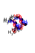 CCC(CC)CNC(=O)Cn1cccc(NC(=O)[C@@H](CC/C=C/C(=O)OC)NC(=O)c2cncn2C)c1=O.CC[C@@H](C)[C@H](NC(=O)Cn1cccc(NC(=O)[C@H](CC/C=C/C(=O)OC)NC(=O)c2ccccc2)c1=O)C(=O)O